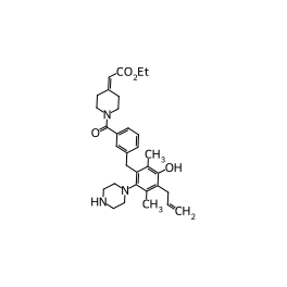 C=CCc1c(C)c(N2CCNCC2)c(Cc2cccc(C(=O)N3CCC(=CC(=O)OCC)CC3)c2)c(C)c1O